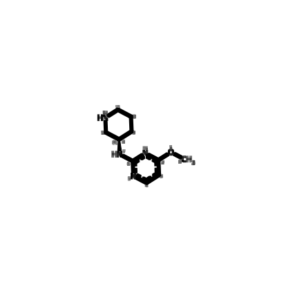 COc1ccnc(N[C@@H]2CCCNC2)n1